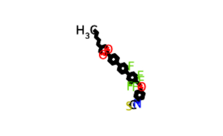 CCCCCC1COC(c2ccc(-c3ccc(-c4cc(F)c(C(F)(F)Oc5ccc(N=C=S)cc5)c(F)c4)c(F)c3)cc2)OC1